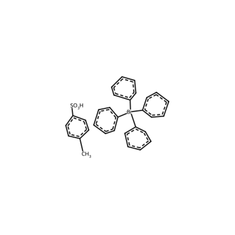 Cc1ccc(S(=O)(=O)O)cc1.c1cc[c]([Bi]([c]2ccccc2)([c]2ccccc2)[c]2ccccc2)cc1